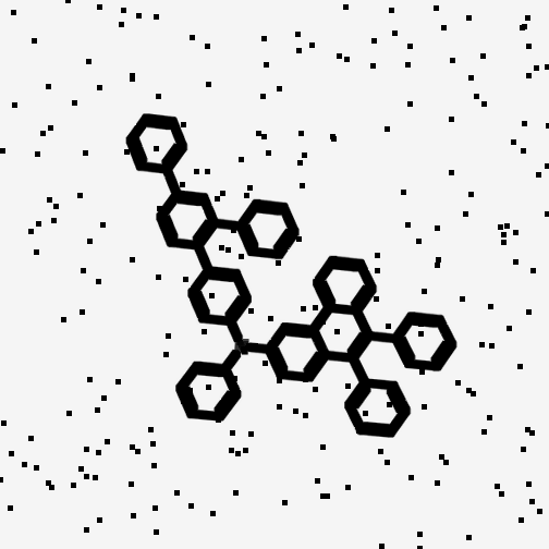 c1ccc(-c2ccc(-c3ccc(N(c4ccccc4)c4ccc5c(-c6ccccc6)c(-c6ccccc6)c6ccccc6c5c4)cc3)c(-c3ccccc3)c2)cc1